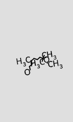 CCOC(C)(C)CCCC(C)CCC=O